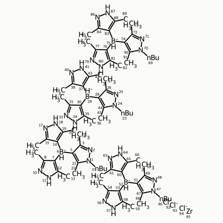 CCCCn1nc(C)c([BH-](c2c(C)n[nH]c2C)c2c(C)n[nH]c2C)c1C.CCCCn1nc(C)c([BH-](c2c(C)n[nH]c2C)c2c(C)n[nH]c2C)c1C.CCCCn1nc(C)c([BH-](c2c(C)n[nH]c2C)c2c(C)n[nH]c2C)c1C.CCCCn1nc(C)c([BH-](c2c(C)n[nH]c2C)c2c(C)n[nH]c2C)c1C.[Cl-].[Cl-].[Cl-].[Zr]